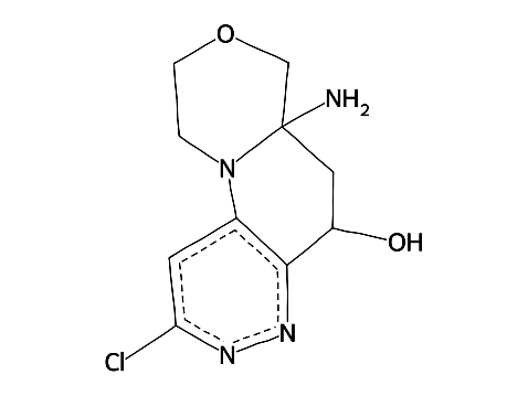 NC12COCCN1c1cc(Cl)nnc1C(O)C2